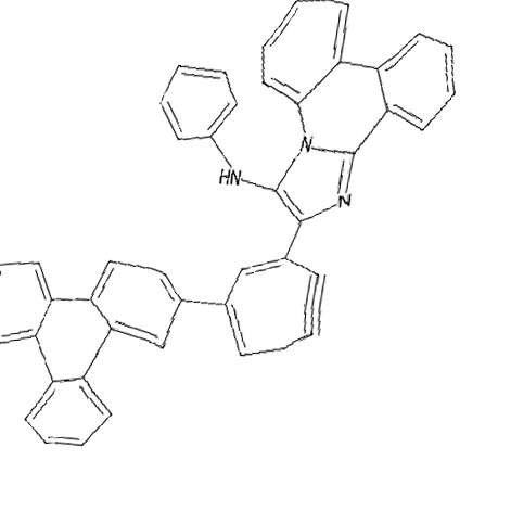 C1#CC(c2nc3c4ccccc4c4ccccc4n3c2Nc2ccccc2)=CC(c2ccc3c4ccccc4c4ccccc4c3c2)=CC1